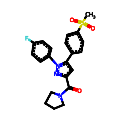 CS(=O)(=O)c1ccc(-c2cc(C(=O)N3CCCC3)nn2-c2ccc(F)cc2)cc1